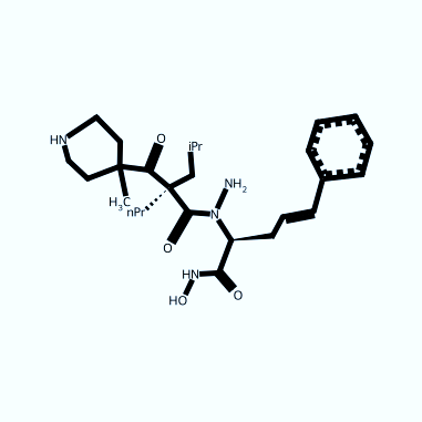 CCC[C@](CC(C)C)(C(=O)N(N)[C@@H](CC=Cc1ccccc1)C(=O)NO)C(=O)C1(C)CCNCC1